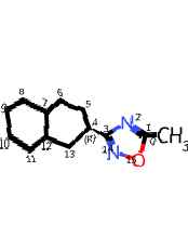 Cc1nc([C@@H]2CCC3CCCCC3C2)no1